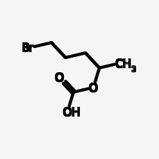 CC(CCCBr)OC(=O)O